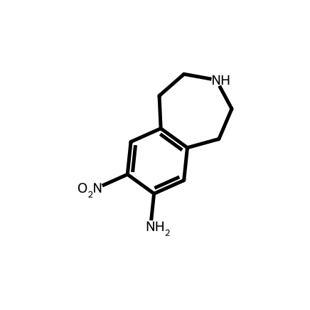 Nc1cc2c(cc1[N+](=O)[O-])CCNCC2